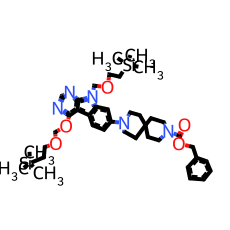 C[Si](C)(C)CCOCOc1ncnc2c1c1ccc(N3CCC4(CCN(C(=O)OCc5ccccc5)CC4)CC3)cc1n2COCC[Si](C)(C)C